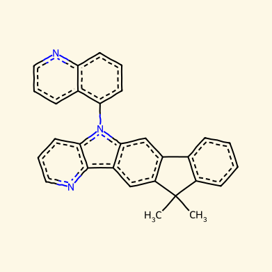 CC1(C)c2ccccc2-c2cc3c(cc21)c1ncccc1n3-c1cccc2ncccc12